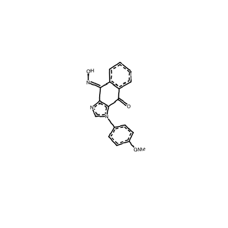 COc1ccc(-n2cnc3c2C(=O)c2ccccc2/C3=N\O)cc1